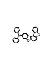 c1ccc(N(c2ccccc2)c2ccc3c(c2)oc2ccc4oc5ccccc5c4c23)cc1